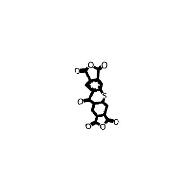 O=C1OC(=O)c2cc3c(cc21)SC1CC2C(=O)OC(=O)C2CC1C3=O